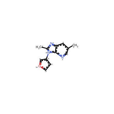 Cc1cnc2c(c1)nc(C)n2-c1ccoc1